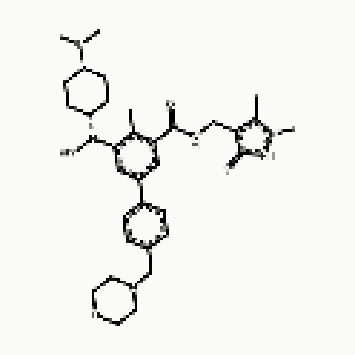 CCCN(c1cc(-c2ccc(CN3CCOCC3)cc2)cc(C(=O)NCc2c(C)n(C)[nH]c2=O)c1C)[C@H]1CC[C@H](N(C)C)CC1